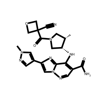 C[C@H]1CN(C(=O)C2(C#N)COC2)C[C@H]1Nc1c(C(N)=O)cnn2cc(-c3cnn(C)c3)nc12